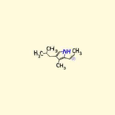 C/C=C\c1[nH]cc(CC(C)C)c1C